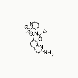 CS(=O)(=O)c1ncccc1N(Cc1ccc2ccc(N)nc2c1)C(=O)C1CC1